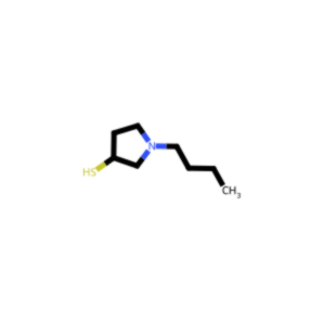 CCCCN1CCC(S)C1